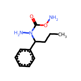 CCCC(c1ccccc1)N(N)C(=O)ON